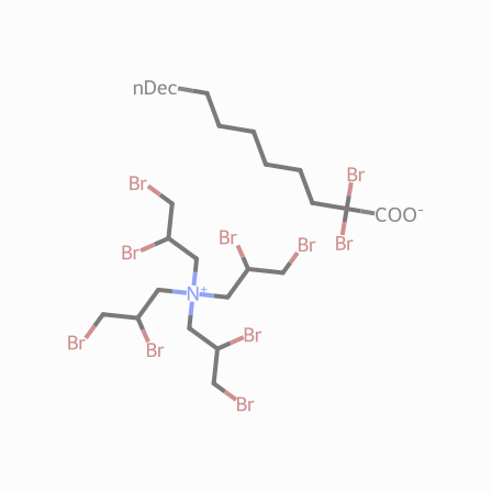 BrCC(Br)C[N+](CC(Br)CBr)(CC(Br)CBr)CC(Br)CBr.CCCCCCCCCCCCCCCCC(Br)(Br)C(=O)[O-]